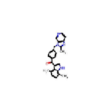 Cc1ccc(C)c2c(C(=O)c3ccc(Cn4c(C)nc5ccncc54)cc3)c[nH]c12